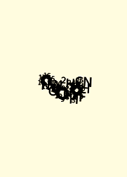 [2H]c1c(F)c([2H])c(N2CCCc3oc(-c4ccccn4)nc3C2)c([2H])c1C#N